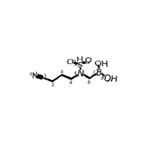 N#CCCCN(CB(O)O)[SH](=O)=O